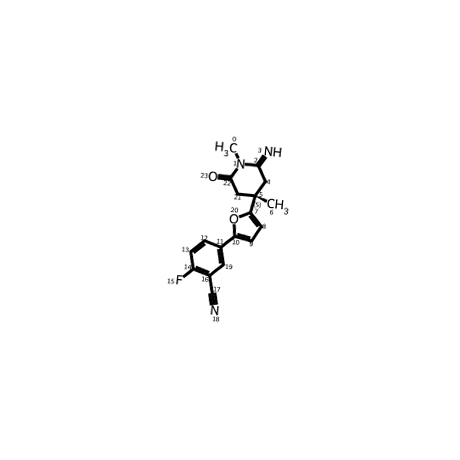 CN1C(=N)C[C@](C)(c2ccc(-c3ccc(F)c(C#N)c3)o2)CC1=O